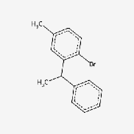 Cc1ccc(Br)c(C(C)c2ccccc2)c1